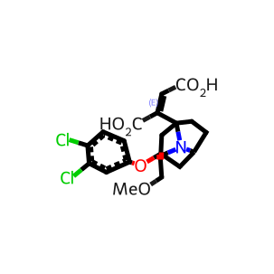 COCCN1C2CCC1(/C(=C\C(=O)O)C(=O)O)CC(Oc1ccc(Cl)c(Cl)c1)C2